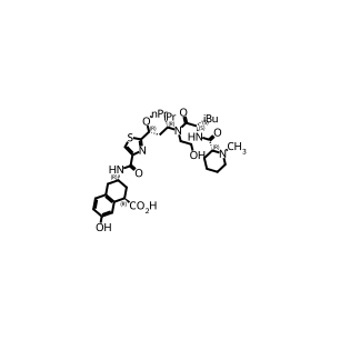 CCCO[C@H](C[C@H](C(C)C)N(CCO)C(=O)[C@@H](NC(=O)[C@H]1CCCCN1C)[C@@H](C)CC)c1nc(C(=O)N[C@H]2Cc3ccc(O)cc3[C@H](C(=O)O)C2)cs1